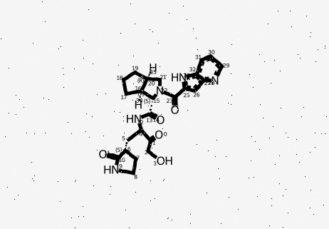 O=C(CO)C(C[C@@H]1CCNC1=O)NC(=O)[C@@H]1[C@H]2CCC[C@H]2CN1C(=O)c1cc2ncccc2[nH]1